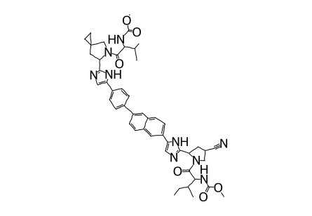 CCC(C)C(NC(=O)OC)C(=O)N1CC(C#N)CC1c1ncc(-c2ccc3cc(-c4ccc(-c5cnc(C6CC7(CC7)CN6C(=O)C(NC(=O)OC)C(C)C)[nH]5)cc4)ccc3c2)[nH]1